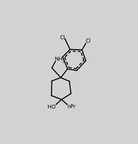 CCCC1(O)CCC(CN)(c2ccc(Cl)c(Cl)c2)CC1